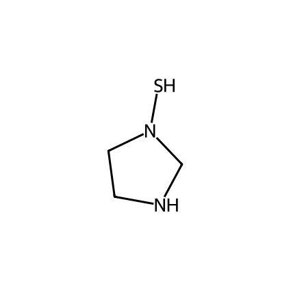 SN1CCNC1